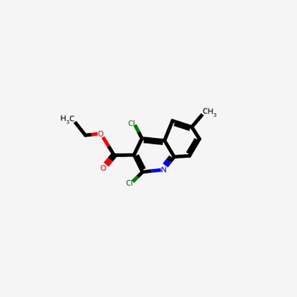 CCOC(=O)c1c(Cl)nc2ccc(C)cc2c1Cl